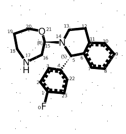 Fc1ccc([C@H]2c3ccccc3CCN2[C@H]2CNCC[CH]O2)cc1